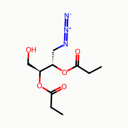 CCC(=O)O[C@@H](CO)[C@H](CN=[N+]=[N-])OC(=O)CC